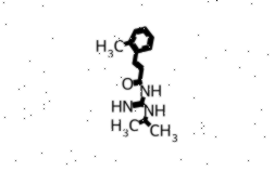 Cc1ccccc1C=CC(=O)NC(=N)NC(C)C